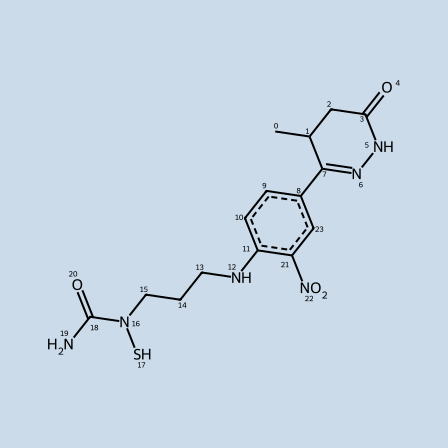 CC1CC(=O)NN=C1c1ccc(NCCCN(S)C(N)=O)c([N+](=O)[O-])c1